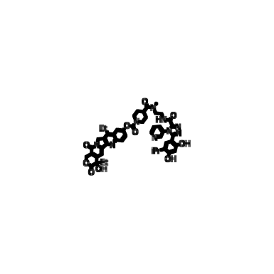 CCc1c2c(nc3ccc(OC(=O)N4CCC(C(=O)N(C)CCNC(=O)c5nnc(-c6cc(C(C)C)c(O)cc6O)n5-c5cccnc5)CC4)cc13)-c1cc3c(c(=O)n1C2)COC(=O)C3(O)CC